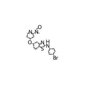 CN(C=O)c1cc(Oc2ccc3sc(Nc4ccc(Br)cc4)nc3c2)ccn1